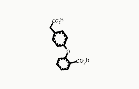 O=C(O)Cc1ccc(Oc2ccccc2C(=O)O)cc1